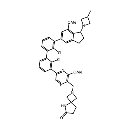 COc1cc(-c2cccc(-c3cccc(-c4cnc(CN5CC6(CCC(=O)N6)C5)c(OC)n4)c3Cl)c2Cl)cc2c1C(N1CC(C)C1)CC2